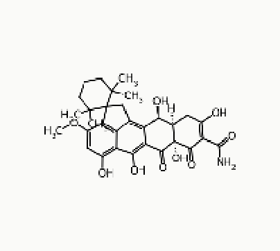 COc1cc(O)c2c(O)c3c(c4c2c1C1(C4)C(C)(C)CCCC1(C)C)[C@@H](O)[C@H]1CC(O)=C(C(N)=O)C(=O)[C@@]1(O)C3=O